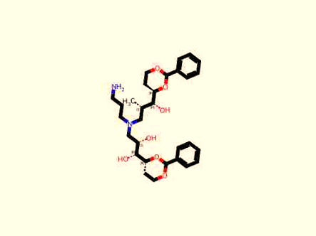 C[C@@H](CN(CCCN)C[C@H](O)[C@@H](O)[C@H]1CCOC(c2ccccc2)O1)[C@@H](O)[C@H]1CCOC(c2ccccc2)O1